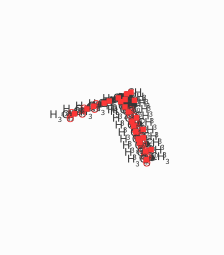 CCCCCC.CCCCCC.CCCCCC.CCCCCC.CCCCCC.CCOC(C)=O.CCOC(C)=O.CCOC(C)=O.CCOC(C)=O.CCOC(C)=O.CCOC(C)=O.CCOC(C)=O.CCOC(C)=O.CCOC(C)=O.CCOC(C)=O.CCOC(C)=O